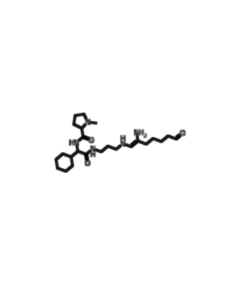 CN1CCCC1C(=O)NC(C(=O)NCCCN/C=C(\N)CCCCC=O)C1CCCCC1